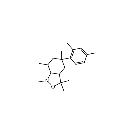 Cc1ccc(C2(C)CC(C)C3C(C2)C(C)(C)ON3C)c(C)c1